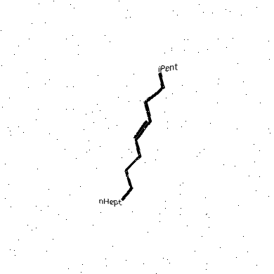 [CH2]CCC(C)CCC=CCCCCCCCCCC